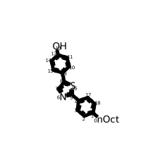 CCCCCCCCc1ccc(-c2ncc(-c3ccc(O)cc3)s2)cc1